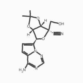 CC1(C)O[C@H]2[C@H](c3ccc4c(N)ncnn34)O[C@](C#N)(CO)[C@H]2O1